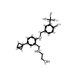 OCCNCc1cc(C23CC(C2)C3)ccc1OCc1ccc(F)c(C(F)(F)F)c1